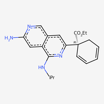 CCOC(=O)[C@@]1(c2cc3cnc(N)cc3c(NC(C)C)n2)C=CC=CC1